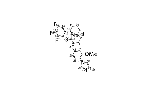 COc1cc(C=C2CC[C@@H]3CCC[C@@H](c4cc(F)c(F)c(F)c4)N3C2=O)ccc1-n1cnc(C)c1